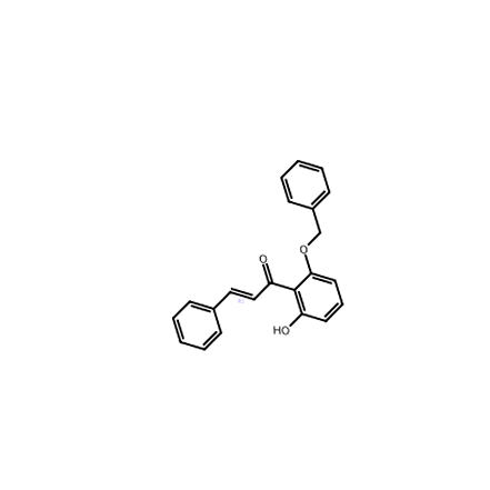 O=C(/C=C/c1ccccc1)c1c(O)cccc1OCc1ccccc1